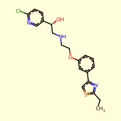 CCc1nc(-c2cccc(OCCNC[C@H](O)c3ccc(Cl)nc3)c2)cs1